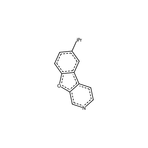 CC(C)c1ccc2oc3cnccc3c2c1